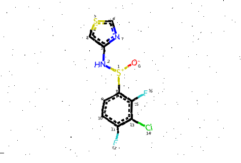 [O-][S+](Nc1cscn1)c1ccc(F)c(Cl)c1F